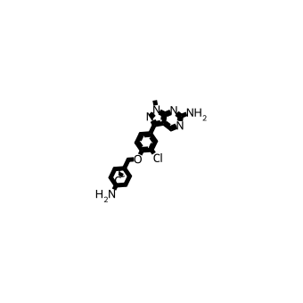 Cn1nc(-c2ccc(OCC34CCC(N)(CC3)CC4)c(Cl)c2)c2cnc(N)nc21